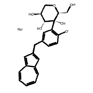 [Na+].[O-]c1ccc(Cc2cc3cccccc-3c2)cc1[C@@]1(O)[C@H](O)[C@@H](O)CO[C@@H]1CO